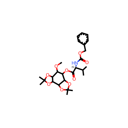 COC1C(OC(=O)[C@@H](NC(=O)OCc2ccccc2)C(C)C)C2OC(C)(C)OC2C2OC(C)(C)OC12